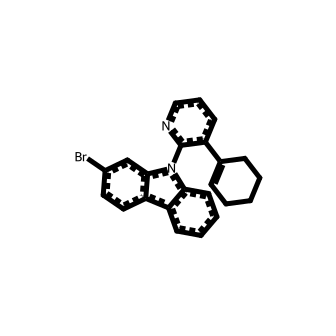 Brc1ccc2c3ccccc3n(-c3ncccc3C3=CCCCC3)c2c1